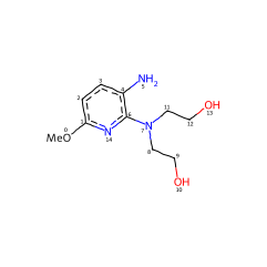 COc1ccc(N)c(N(CCO)CCO)n1